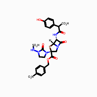 O=C(O)C(C(=O)N[C@@H]1C(=O)N2C[C@@](C(=O)OCc3ccc([N+](=O)[O-])cc3)(N3CCN(NS(=O)(=O)O)C3=O)S[C@H]12)c1ccc(O)cc1